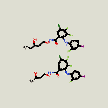 CC(O)CCONC(=O)c1cc(Cl)c(F)c(F)c1Nc1ccc(I)cc1F.CCC(O)CCONC(=O)c1cc(Cl)c(F)c(F)c1Nc1ccc(I)cc1F